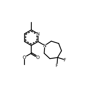 COC(=O)c1ccc(C)nc1N1CCCC(F)(F)CC1